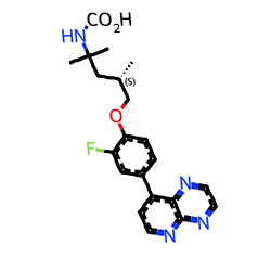 C[C@H](COc1ccc(-c2ccnc3nccnc23)cc1F)CC(C)(C)NC(=O)O